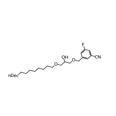 CCCCCCCCCCCCCCCCCCOCC(O)COCc1cc(F)cc(C#N)c1